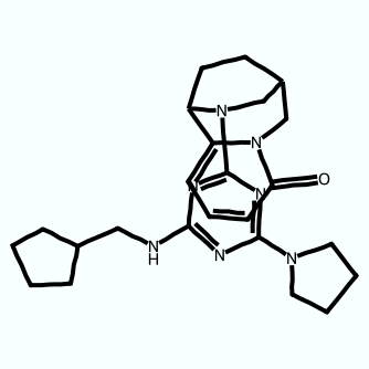 O=c1cccc2n1CC1CCC2N(c2nc(NCC3CCCC3)nc(N3CCCC3)n2)C1